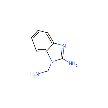 NCn1c(N)nc2ccccc21